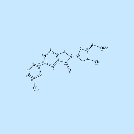 COC[C@@H]1C[C@@H](N2Cc3cnc(-c4cccc(C(F)(F)F)c4)nc3C2=O)CN1C#N